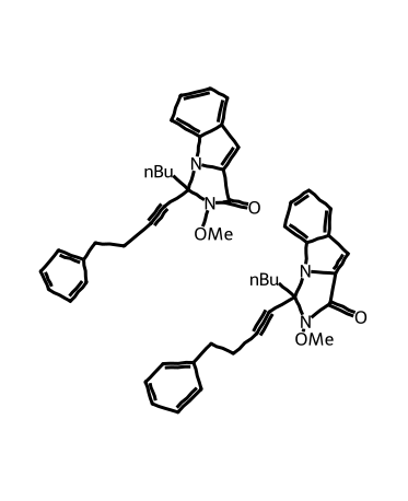 CCCCC1(C#CCCc2ccccc2)N(OC)C(=O)c2cc3ccccc3n21.CCCCC1(C#CCCc2ccccc2)N(OC)C(=O)c2cc3ccccc3n21